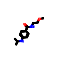 COCCNC(=O)c1ccc(NC(C)C)cc1